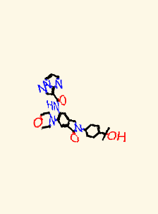 CC(C)(O)C1CCC(N2Cc3cc(NC(=O)c4cnn5cccnc45)c(N4CCOCC4)cc3C2=O)CC1